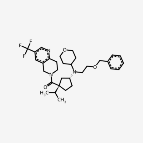 CC(C)[C@]1(C(=O)N2CCc3ncc(C(F)(F)F)cc3C2)CC[C@@H](N(CCOCc2ccccc2)C2CCOCC2)C1